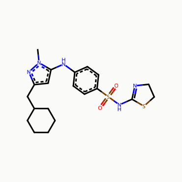 Cn1nc(CC2CCCCC2)cc1Nc1ccc(S(=O)(=O)NC2=NCCS2)cc1